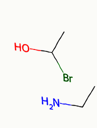 CC(O)Br.CCN